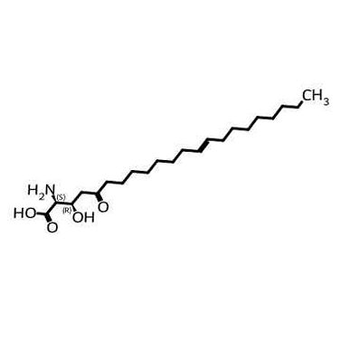 CCCCCCCCC=CCCCCCCCC(=O)C[C@@H](O)[C@H](N)C(=O)O